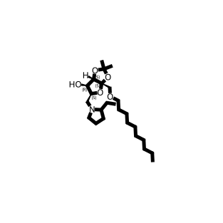 CCCCCCCCCCOC[C@@]12O[C@@H](CN3CCCC3CC)[C@@H](O)[C@@H]1OC(C)(C)O2